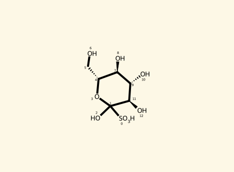 O=S(=O)(O)C1(O)O[C@H](CO)[C@@H](O)[C@H](O)[C@H]1O